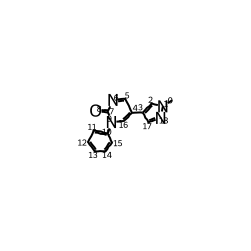 Cn1cc(-c2cnc(=O)n(-c3ccccc3)c2)cn1